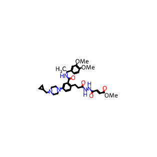 COC(=O)/C=C/C(=O)NNC(=O)CCc1ccc(N2CCN(CC3CC3)CC2)cc1C(=O)N[C@H](C)c1ccc(OC)c(OC)c1